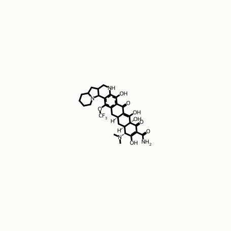 CN(C)[C@H]1C(O)=C(C(N)=O)C(=O)[C@]2(O)C(O)=C3C(=O)c4c(O)c5c(c(OC(F)(F)F)c4C[C@@H]3C[C@H]12)C1C(CN5)CC2CCCCN21